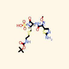 CO/N=C(\C(=O)N[C@@H]1C(=O)N(S(=O)(=O)O)[C@H]1CSCCNC(=O)OC(C)(C)C)c1cnc(N)s1